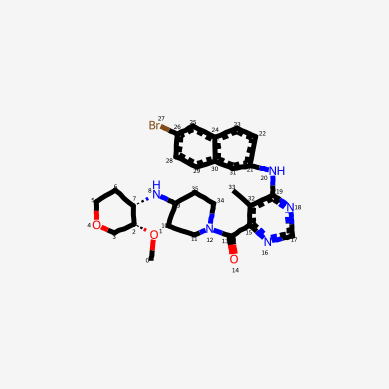 CO[C@@H]1COCC[C@@H]1NC1CCN(C(=O)c2ncnc(Nc3ccc4cc(Br)ccc4c3)c2C)CC1